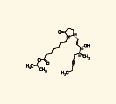 CCC#CC[C@H](C)[C@@H](O)C=C[C@H]1CCC(=O)N1CCCCCCC(=O)OC(C)C